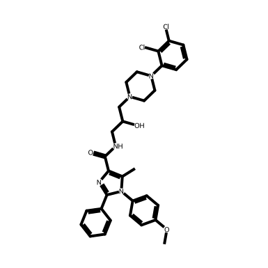 COc1ccc(-n2c(-c3ccccc3)nc(C(=O)NCC(O)CN3CCN(c4cccc(Cl)c4Cl)CC3)c2C)cc1